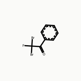 O=C(c1ccccc1)C(F)(Br)Br